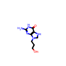 Nc1nc2c(c(=O)[nH]1)NCN2CCCO